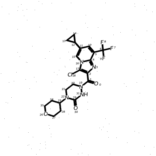 O=C(c1nc2c(C(F)(F)F)cc(C3CC3)cn2c1Cl)N1CCN(C2CCOCC2)C(=O)N1